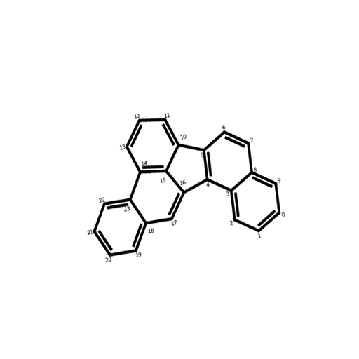 c1ccc2c3c(ccc2c1)-c1cccc2c1c-3cc1ccccc12